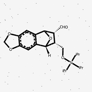 CC(C)[Si](OC[C@@H]1[C@H]2OC(c3cc4c(cc32)OCO4)[C@@H]1C=O)(C(C)C)C(C)C